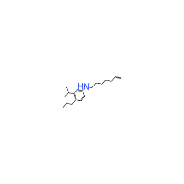 C=CCCCCCNc1ccc(CCC)c(C(C)C)c1